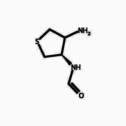 NC1CSC[C@@H]1NC=O